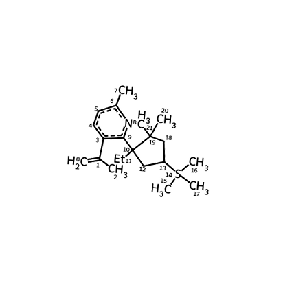 C=C(C)c1ccc(C)nc1C1(CC)CC(S(C)(C)C)CC1(C)C